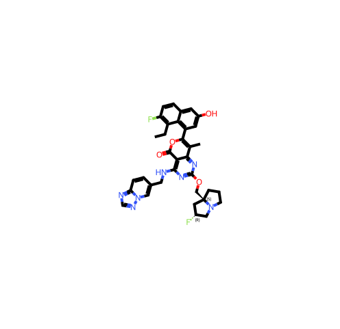 CCc1c(F)ccc2cc(O)cc(-c3oc(=O)c4c(NCc5ccc6ncnn6c5)nc(OC[C@@]56CCCN5C[C@H](F)C6)nc4c3C)c12